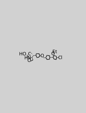 CCOc1cc(Cl)ccc1-c1ccc(COc2ccc([C@@H](CC(=O)O)C3C=CON3)cc2)cc1